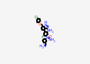 NCc1ccc(F)c(N(C(N)=O)c2ccc(-c3ccc(COc4ccc(Cl)cc4)c4[nH]nc(N)c34)cc2)c1